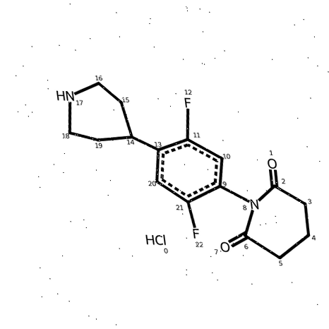 Cl.O=C1CCCC(=O)N1c1cc(F)c(C2CCNCC2)cc1F